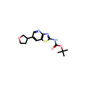 CC(C)(C)OC(=O)Nc1nc2ncc(C3CCOC3)cc2s1